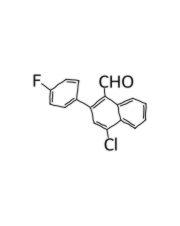 O=Cc1c(-c2ccc(F)cc2)cc(Cl)c2ccccc12